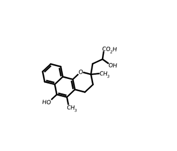 Cc1c2c(c3ccccc3c1O)OC(C)(CC(O)C(=O)O)CC2